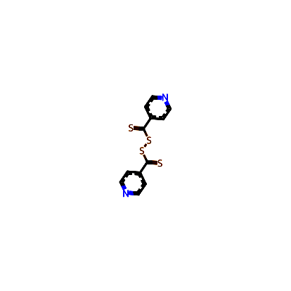 S=C(SSC(=S)c1ccncc1)c1ccncc1